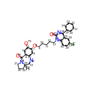 COc1cc2c(cc1OCCCCCn1c(=O)nc(-c3ccccc3)c3cc(F)ccc31)N=C[C@@H]1CCCN1C2=O